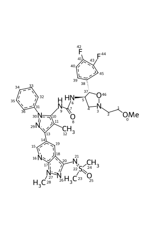 COCCN1C[C@@H](NC(=O)Nc2c(C)c(-c3cnc4c(c3)c(N=S(C)(C)=O)nn4C)nn2-c2ccccc2)[C@H](c2ccc(F)c(F)c2)O1